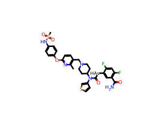 Cc1nc(Oc2ccc(NS(C)(=O)=O)cc2)ccc1CN1CCC(N(C(=O)[AsH]c2cc(C(N)=O)c(F)cc2F)c2ccsc2)CC1